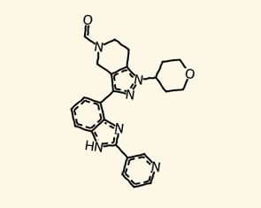 O=CN1CCc2c(c(-c3cccc4[nH]c(-c5cccnc5)nc34)nn2C2CCOCC2)C1